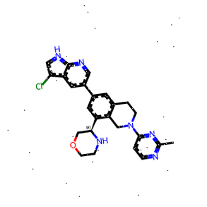 Cc1nccc(N2CCc3cc(-c4cnc5[nH]cc(Cl)c5c4)cc([C@@H]4COCCN4)c3C2)n1